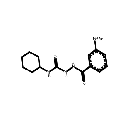 CC(=O)Nc1cccc(C(=O)NNC(=O)NC2CCCCC2)c1